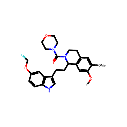 CCOc1cc2c(cc1OC)CCN(C(=O)N1CCOCC1)C2CCc1c[nH]c2ccc(OCF)cc12